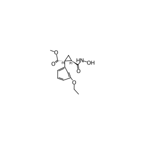 CCOc1cccc([C@@]2(C(=O)OC)C[C@H]2C(=O)NO)c1